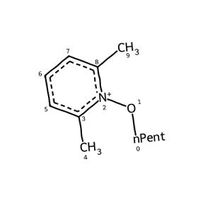 CCCCCO[n+]1c(C)cccc1C